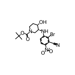 CC(C)(C)OC(=O)N1CC[C@@H](O)[C@@H](Nc2ccc([N+](=O)[O-])c(C#N)c2Br)C1